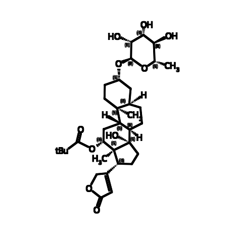 C[C@@H]1O[C@@H](O[C@H]2CC[C@@]3(C)[C@H](CC[C@@H]4[C@@H]3C[C@@H](OC(=O)C(C)(C)C)[C@]3(C)[C@@H](C5=CC(=O)OC5)CC[C@]43O)C2)[C@H](O)[C@H](O)[C@H]1O